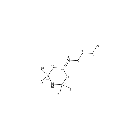 CCCCN=C1CC(C)(C)NC(C)(C)C1